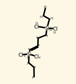 CCC[Si](Cl)(Cl)/C=C/CC[Si](Cl)(Cl)CCC